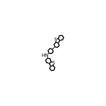 c1ccc2c(c1)sc1cc(Nc3ccc(-c4ccc5c(c4)sc4ccccc45)cc3)ccc12